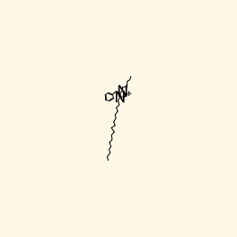 CCCCCCCCCCCCCCCCCC[n+]1ccn(CCCCC)c1Cc1ccccc1